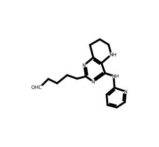 O=CCCCCc1nc2c(c(Nc3ccccn3)n1)NCCC2